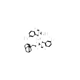 Nn1cnc2ccc(Br)cc2c1=O.O=C(CC12CC3CC(CC(C3)C1)C2)Nn1cnc2ccc(Br)cc2c1=O